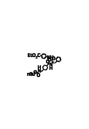 CCCCOC(=O)NCC1CCC(C(=O)N[C@@H](Cc2ccccc2)C(=O)ONc2ccc(C(=O)OCC)cc2)CC1